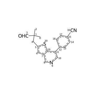 CC(C)(C=O)Cc1cc2cncc(-c3ccc(C#N)cc3)c2s1